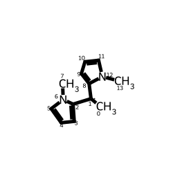 C[C](c1cccn1C)c1cccn1C